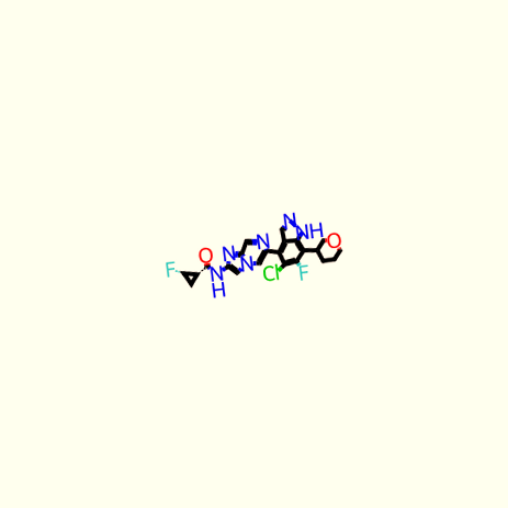 O=C(Nc1cn2cc(-c3c(Cl)c(F)c(C4CCCOC4)c4[nH]ncc34)ncc2n1)[C@@H]1C[C@@H]1F